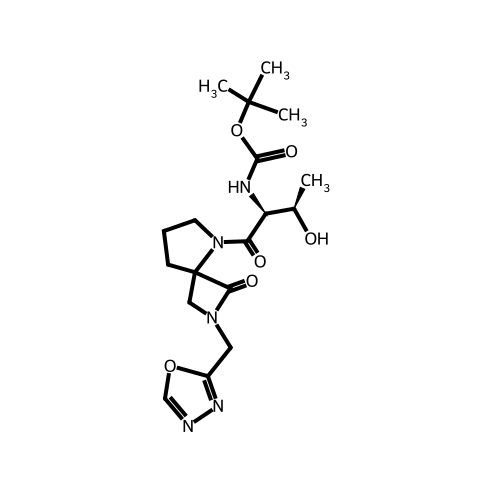 C[C@@H](O)[C@H](NC(=O)OC(C)(C)C)C(=O)N1CCCC12CN(Cc1nnco1)C2=O